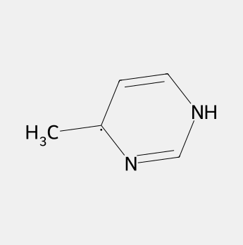 C[C]1C=CNC=N1